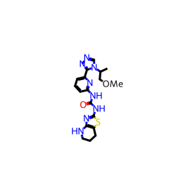 COCC(C)n1cnnc1-c1cccc(NC(=O)Nc2nc3c(s2)CCCN3)n1